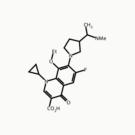 CCOc1c(N2CCC(C(C)NC)C2)c(F)cc2c(=O)c(C(=O)O)cn(C3CC3)c12